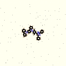 Cc1cc(-n2c3ccccc3c3cc(-n4c5ccccc5c5ccccc54)ccc32)c(C)cc1-c1cc(-c2ccccc2)nc(-c2ccccc2)n1